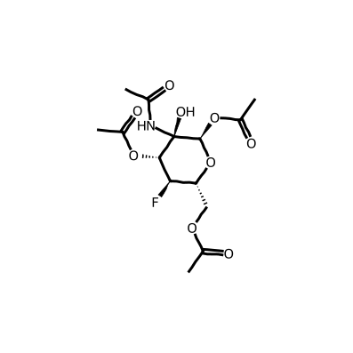 CC(=O)N[C@]1(O)[C@@H](OC(C)=O)O[C@H](COC(C)=O)[C@@H](F)[C@@H]1OC(C)=O